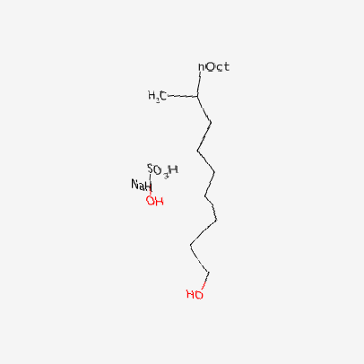 CCCCCCCCC(C)CCCCCCCO.O=S(=O)(O)O.[NaH]